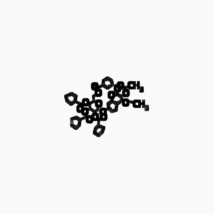 CCOc1c(OC(C)=O)c(=O)oc2cc(O[C@H]3O[C@H](COC(=O)c4ccccc4)[C@@H](OC(=O)c4ccccc4)[C@H](OC(=O)c4ccccc4)[C@@H]3OC(=O)c3ccccc3)ccc12